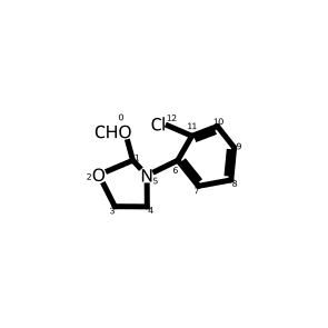 O=CC1OCCN1c1ccccc1Cl